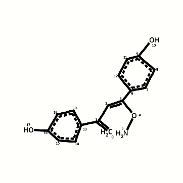 C=C(/C=C(\ON)c1ccc(O)cc1)c1ccc(O)cc1